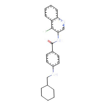 O=C(Nc1cnc2ccccc2c1Cl)c1ccc(NCC2CCCCC2)cc1